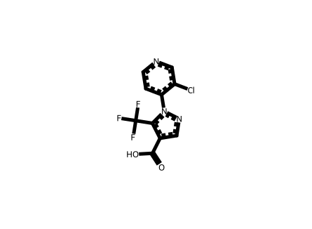 O=C(O)c1cnn(-c2ccncc2Cl)c1C(F)(F)F